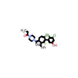 C=CC(=O)N1CCN(/C(SC)=C2\CC=C(Cl)C(c3cc(O)cc(Cl)c3Cl)=C(F)\C2=C/CCC)CC1